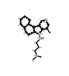 Cc1cncc2c3c4ccccc4ccc3n(NCCCN(C)C)c12